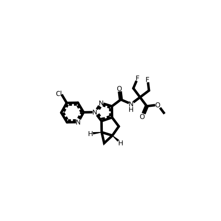 COC(=O)C(CF)(CF)NC(=O)c1nn(-c2cc(Cl)ccn2)c2c1C[C@@H]1C[C@H]21